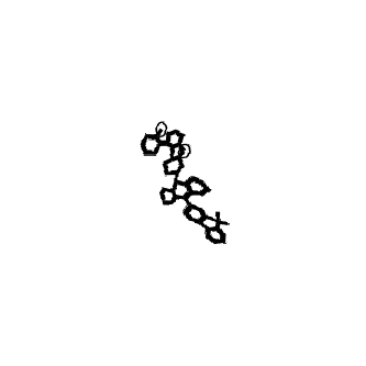 CC1(C)c2ccccc2-c2ccc(-c3c4ccccc4c(-c4ccc5c(c4)oc4ccc6oc7ccccc7c6c45)c4ccccc34)cc21